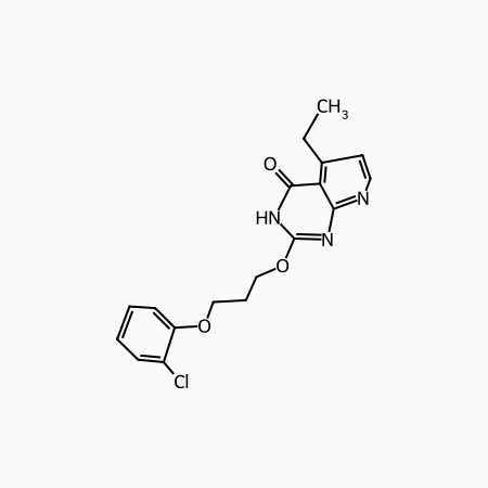 CCc1ccnc2nc(OCCCOc3ccccc3Cl)[nH]c(=O)c12